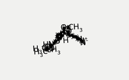 CCOC(=O)[C@H](Cc1ccc(OCCNC(=O)OC(C)(C)C)cc1)NC(=O)CCCCCN=[N+]=[N-]